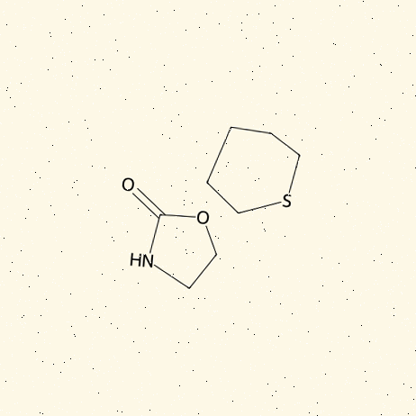 C1CCSCC1.O=C1NCCO1